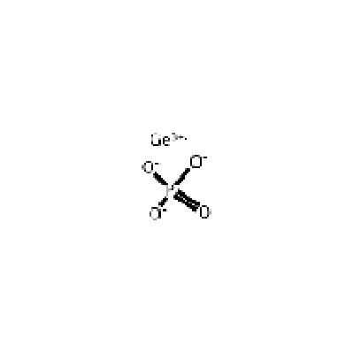 O=P([O-])([O-])[O-].[Ge+3]